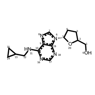 OCC1CC[C@@H](n2cnc3c(NCC4CC4)ncnc32)O1